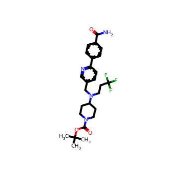 CC(C)(C)OC(=O)N1CCC(N(CCC(F)(F)F)Cc2ccc(-c3ccc(C(N)=O)cc3)nc2)CC1